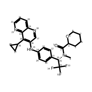 CN(C(=O)C1CCCCO1)[C@@H](c1ccc(Nc2cnc3cccnc3c2C2CC2)cc1)C(F)(F)F